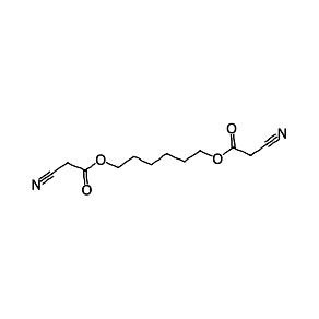 N#CCC(=O)OCCCCCCOC(=O)CC#N